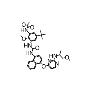 COCC(C)Nc1nccc(Oc2ccc(NC(=O)Nc3cc(C(C)(C)C)cc(NS(C)(=O)=O)c3OC)c3ccccc23)n1